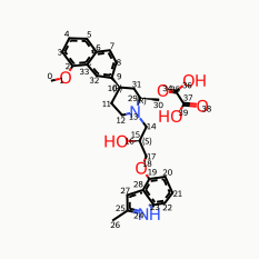 COc1cccc2ccc([C@@H]3CCN(C[C@H](O)COc4cccc5[nH]c(C)cc45)[C@H](C)C3)cc12.O=C(O)C(=O)O